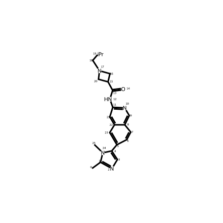 Cc1ncc(-c2ccc3cnc(NC(=O)C4CN(CC(C)C)C4)cc3c2)n1C